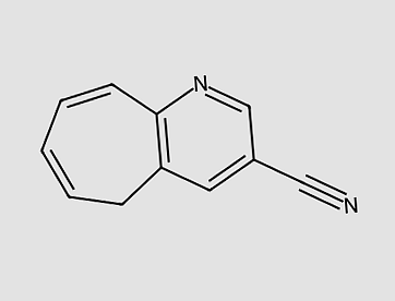 N#Cc1cnc2c(c1)CC=CC=C2